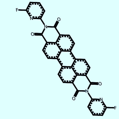 O=C1c2ccc3c4ccc5c6c(ccc(c7ccc(c2c37)C(=O)N1c1cccc(F)n1)c64)C(=O)N(c1cccc(F)n1)C5=O